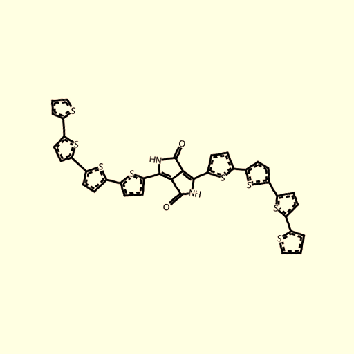 O=C1NC(c2ccc(-c3ccc(-c4ccc(-c5cccs5)s4)s3)s2)=C2C(=O)NC(c3ccc(-c4ccc(-c5ccc(-c6cccs6)s5)s4)s3)=C12